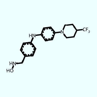 ONCc1ccc(Nc2ccc(N3CCC(C(F)(F)F)CC3)cc2)cc1